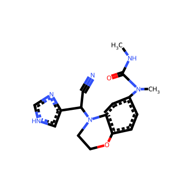 CNC(=O)N(C)c1ccc2c(c1)N(C(C#N)c1c[nH]cn1)CCO2